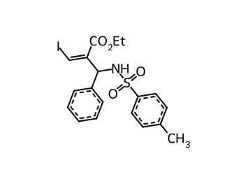 CCOC(=O)/C(=C\I)C(NS(=O)(=O)c1ccc(C)cc1)c1ccccc1